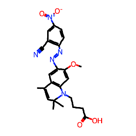 COc1cc2c(cc1N=Nc1ccc([N+](=O)[O-])cc1C#N)C(C)=CC(C)(C)N2CCCC(=O)O